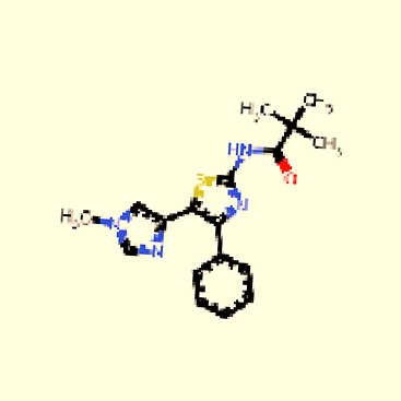 Cn1cnc(-c2sc(NC(=O)C(C)(C)C)nc2-c2ccccc2)c1